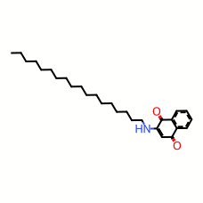 CCCCCCCCCCCCCCCCCCNC1=CC(=O)c2ccccc2C1=O